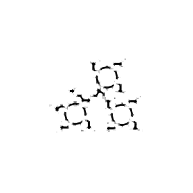 CC(=O)NCC(C(=O)NCC(C)(CNC(=O)CN1CCN(CC(=O)O)CCN(CC(=O)O)CCN(CC(=O)O)CC1)N1CCN(CC(=O)O)CCN(CC(=O)O)CCN(CC(=O)O)CC1)N1CCN(CC(=O)O)CCN(CC(=O)O)CCN(CC(=O)O)CC1